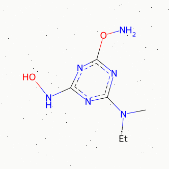 CCN(C)c1nc(NO)nc(ON)n1